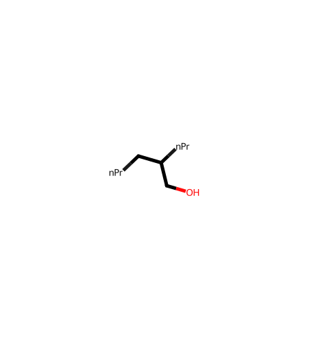 CCCCC(CO)CCC